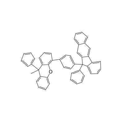 CC1(c2ccccc2)c2ccccc2Oc2c(-c3ccc(C4(c5ccccc5)c5ccccc5-c5cc6ccccc6cc54)cc3)cccc21